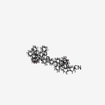 N#Cc1ccc2c3cccc4c3n(c2c1)-c1ccccc1B4n1c2ccccc2c2c(-c3ccc4c(c3)oc3c4ccc4c3c3c5oc6ccccc6c5cc5c3n4-c3ccccc3B5n3c4ccccc4c4cccc(-c5ccccc5)c43)ccc(-c3ccccc3)c21